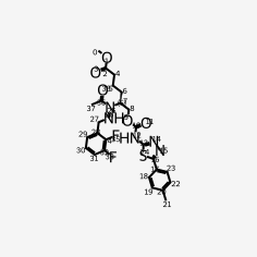 COC(=O)CCC[C@@H](COC(=O)Nc1nnc(-c2ccc(C)cc2)s1)N(NCc1cccc(F)c1F)C(C)=O